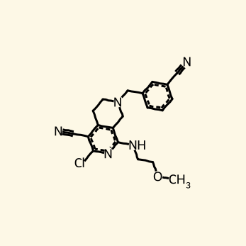 COCCNc1nc(Cl)c(C#N)c2c1CN(Cc1cccc(C#N)c1)CC2